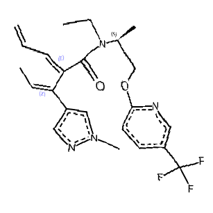 C=C/C=C(C(=O)N(CC)[C@@H](C)COc1ccc(C(F)(F)F)cn1)\C(=C/C)c1cnn(C)c1